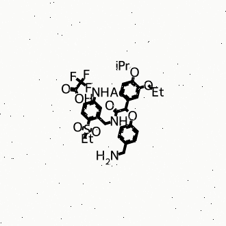 CCOc1cc(C(Oc2ccc(CN)cc2)C(=O)NCc2cc(NC(C)=O)ccc2S(=O)(=O)CC)ccc1OC(C)C.O=C(O)C(F)(F)F